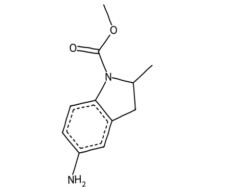 COC(=O)N1c2ccc(N)cc2CC1C